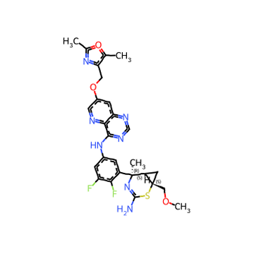 COC[C@]12C[C@H]1[C@](C)(c1cc(Nc3ncnc4cc(OCc5nc(C)oc5C)cnc34)cc(F)c1F)N=C(N)S2